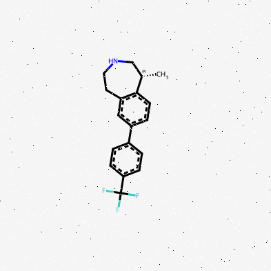 C[C@H]1CNCCc2cc(-c3ccc(C(F)(F)F)cc3)ccc21